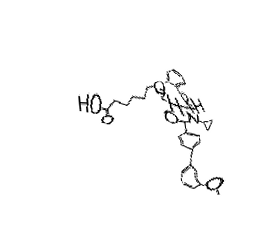 [2H]C([2H])(c1ccccc1OCCCCCC(=O)O)N(C(=O)c1ccc(-c2cccc(OC)c2)cc1)C1CC1